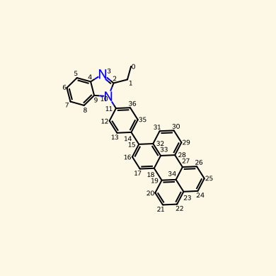 CCc1nc2ccccc2n1-c1ccc(-c2ccc3c4cccc5cccc(c6cccc2c63)c54)cc1